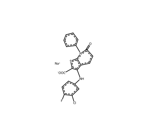 O=C([O-])c1sc2c(ccc(=O)n2-c2ccccc2)c1Nc1ccc(F)c(Cl)c1.[Na+]